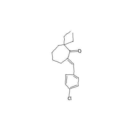 CCC1(CC)CCCC/C(=C\c2ccc(Cl)cc2)C1=O